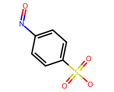 [O]S(=O)(=O)c1ccc(N=O)cc1